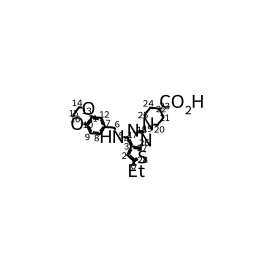 CCc1cc2c(NCc3ccc4c(c3)OCCO4)nc(N3CCC(C(=O)O)CC3)nc2s1